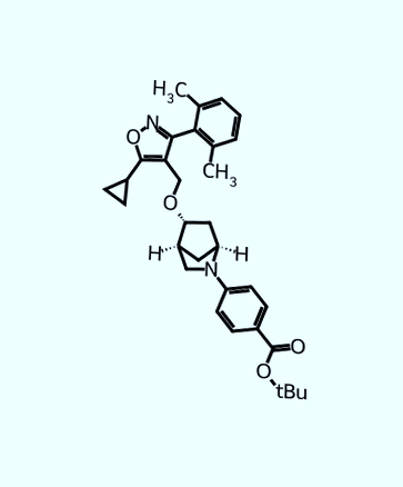 Cc1cccc(C)c1-c1noc(C2CC2)c1CO[C@@H]1C[C@@H]2C[C@H]1CN2c1ccc(C(=O)OC(C)(C)C)cc1